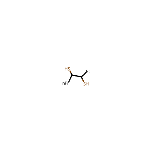 CCCC(S)C(S)CC